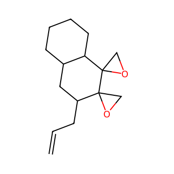 C=CCC1CC2CCCCC2C2(CO2)C12CO2